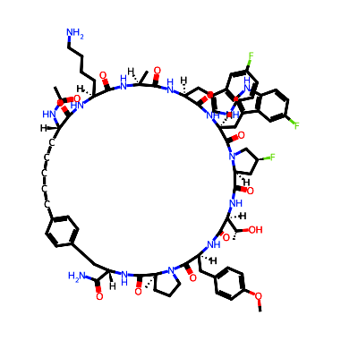 COc1ccc(C[C@@H]2NC(=O)[C@H]([C@@H](C)O)NC(=O)[C@@H]3C[C@H](F)CN3C(=O)[C@H](Cc3c[nH]c4ccc(F)cc34)NC(=O)[C@H](Cc3c[nH]c4ccc(F)cc34)NC(=O)[C@H](C)NC(=O)[C@H](CCCCN)NC(=O)[C@@H](NC(C)=O)CCCCCc3ccc(cc3)C[C@@H](C(N)=O)NC(=O)[C@]3(C)CCCN3C2=O)cc1